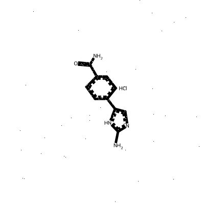 Cl.NC(=O)c1ccc(-c2cnc(N)[nH]2)cc1